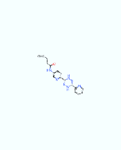 O=CCCC(=O)Nc1ccc(C2=NNC(c3ccccn3)=NN2)nc1